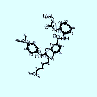 CN(C)CCCCN(Cc1ccc(C(=O)Nc2ccccc2NC(=O)OC(C)(C)C)nc1)C(=O)Nc1ccc(N(C)C)cc1